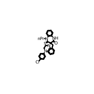 CCCN1C(=S)C(Cc2ccccc2)(N2CCN(c3ccc(Cl)cc3)CC2)C(=O)Nc2ccccc21